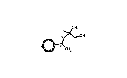 C[C@@H](c1ccccc1)[C@@H]1CC1(C)CO